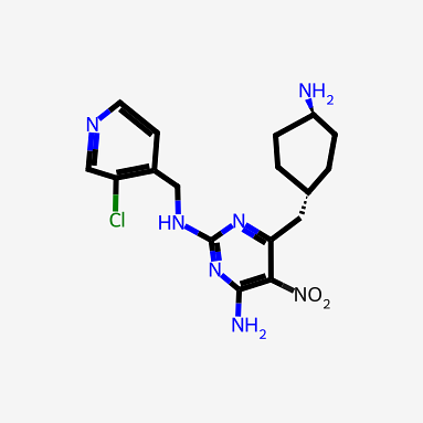 Nc1nc(NCc2ccncc2Cl)nc(C[C@H]2CC[C@H](N)CC2)c1[N+](=O)[O-]